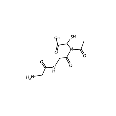 CC(=O)N(C(=O)CNC(=O)CN)C(S)C(=O)O